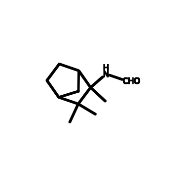 CC1(C)C2CCC(C2)C1(C)NC=O